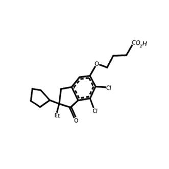 CCC1(C2CCCC2)Cc2cc(OCCCC(=O)O)c(Cl)c(Cl)c2C1=O